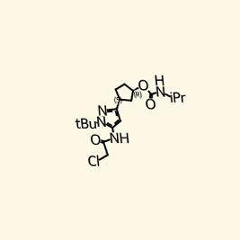 CC(C)NC(=O)O[C@@H]1CC[C@H](c2cc(NC(=O)CCl)n(C(C)(C)C)n2)C1